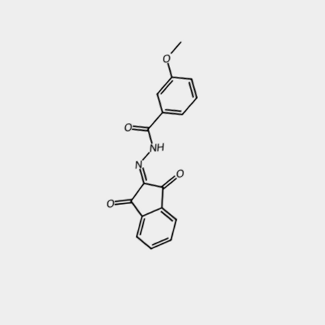 COc1cccc(C(=O)NN=c2c(=O)c3ccccc3c2=O)c1